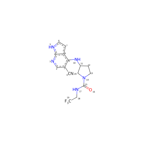 N#Cc1cnc2[nH]ccc2c1NC1CCN(C(=O)NCC(F)(F)F)C1